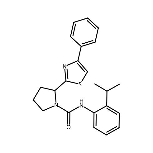 CC(C)c1ccccc1NC(=O)N1CCCC1c1nc(-c2ccccc2)cs1